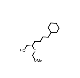 COCO[C@@H](CO)CCCCC1CCCCC1